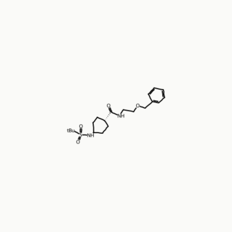 CC(C)(C)S(=O)(=O)N[C@H]1CC[C@H](C(=O)NCCOCc2ccccc2)CC1